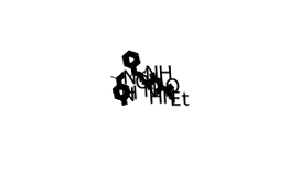 CCNC(=O)c1cnc2c(c1)NC[C@@H]([C@H](NC[C@@H](C)c1ccc(C)nc1)c1ccccc1)O2